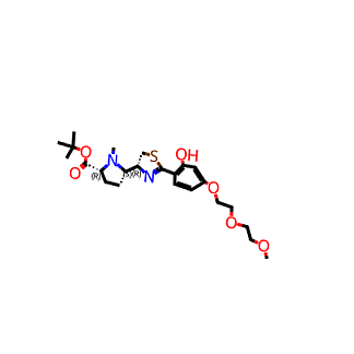 COCCOCCOc1ccc(C2=N[C@H]([C@@H]3CC[C@H](C(=O)OC(C)(C)C)N3C)CS2)c(O)c1